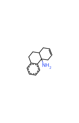 NC12CC=CCC1CCc1ccccc12